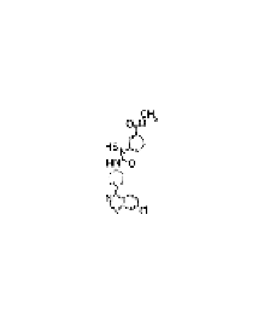 COC(=O)c1cccc(N(S)C(=O)NC2CCN(c3ncnc4cc(Cl)ccc34)CC2)c1